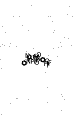 O=C1N(c2ccc(OC(F)(F)F)cc2)C(=O)C2(CC2)N1Cc1ccncc1Nc1ccccc1